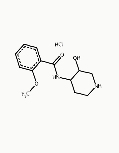 Cl.O=C(NC1CCNCC1O)c1ccccc1OC(F)(F)F